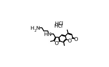 Cc1oc2c(C)c3oc(=O)cc(C)c3cc2c1CNCCCN.Cl.Cl